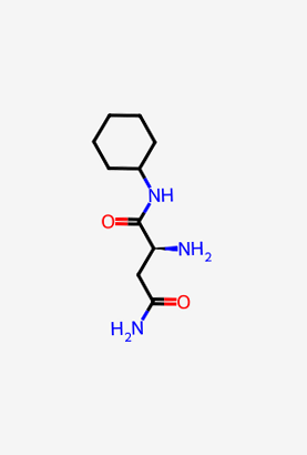 NC(=O)C[C@H](N)C(=O)NC1CCCCC1